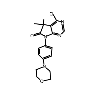 CC1(C)C(=O)N(c2ccc(N3CCOCC3)cc2)c2ncnc(Cl)c21